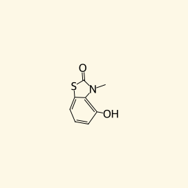 Cn1c(=O)sc2cccc(O)c21